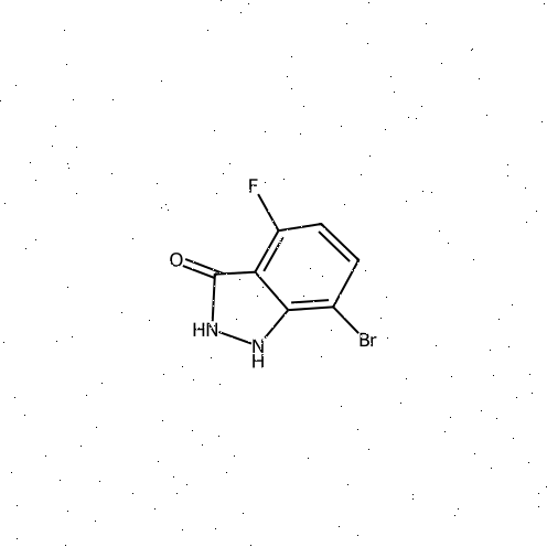 O=c1[nH][nH]c2c(Br)ccc(F)c12